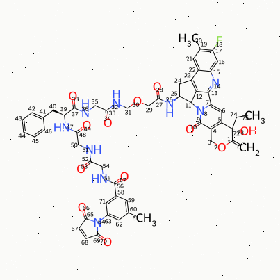 C=C1OCc2c(cc3n(c2=O)C2c4c-3nc3cc(F)c(C)cc3c4C[C@@H]2NC(=O)COCNC(=O)CNC(=O)[C@H](Cc2ccccc2)NC(=O)CNC(=O)CNC(=O)c2cc(C)cc(N3C(=O)C=CC3=O)c2)[C@@]1(O)CC